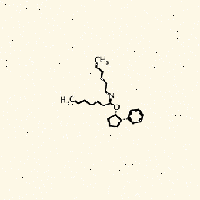 CCCCCC/N=C(\CCCCCC)O[C@H]1CCC[C@H]1c1ccccc1